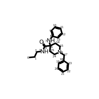 CCCNC(=O)C1(Nc2ccccc2)CCN(Cc2ccccc2)CC1